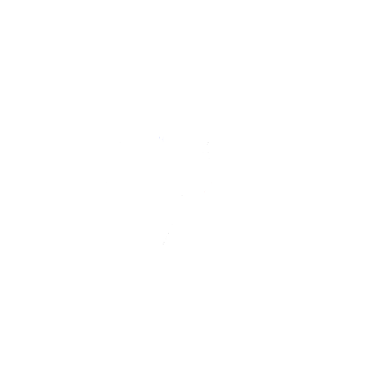 OCC1CC2(C1)Oc1cc(F)ccc1-c1[nH]c3c(F)cc(F)cc3c12